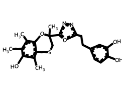 Cc1c(C)c2c(c(C)c1O)SCC(C)(c1nnc(CCc3ccc(O)c(O)c3)o1)O2